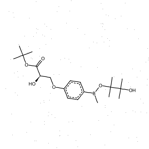 CB(OC(C)(C)C(C)(C)O)c1ccc(OC[C@@H](O)C(=O)OC(C)(C)C)cc1